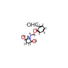 O=[C]c1ccccc1OCCN1C(=O)CCC1=O